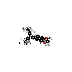 CC(C)c1cccc(C(C)C)c1-n1c(=O)c2ccc3c4ccc5sc6cc(N(c7ccc(C(C)(C)CC(C)(C)C)cc7)c7ccc(C(C)(C)CC(C)(C)C)cc7)ccc6c6ccc(c7ccc(c1=O)c2c37)c4c56